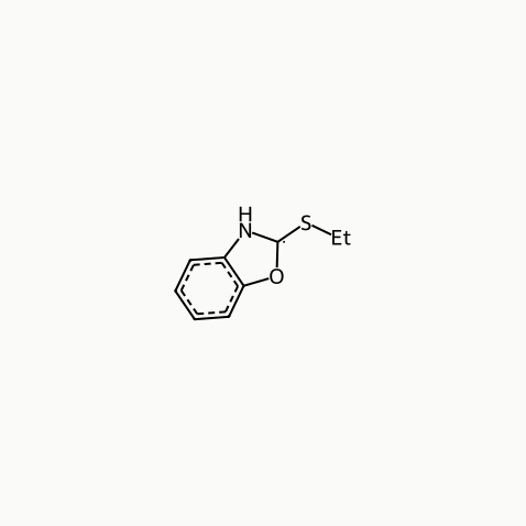 CCS[C]1Nc2ccccc2O1